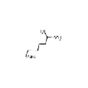 CCCCCCCCCC(N)S(=O)(=O)O